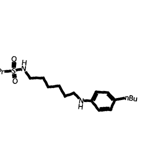 CCCCc1ccc(NCCCCCCNS(=O)(=O)C(C)C)cc1